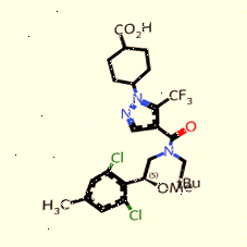 CO[C@H](CN(CC(C)(C)C)C(=O)c1cnn(C2CCC(C(=O)O)CC2)c1C(F)(F)F)c1c(Cl)cc(C)cc1Cl